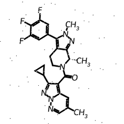 Cc1cnn2nc(C3CC3)c(C(=O)N3CCc4c(nn(C)c4-c4cc(F)c(F)c(F)c4)[C@@H]3C)c2c1